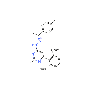 COc1cccc(OC)c1-c1cc(N/N=C(\C)c2ccc(C)cc2)nc(C)n1